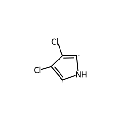 Clc1[c][nH][c]c1Cl